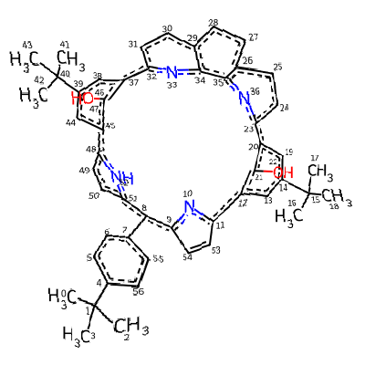 CC(C)(C)c1ccc(-c2c3nc(c4cc(C(C)(C)C)cc(c4O)c4ccc5ccc6ccc(nc6c5n4)c4cc(C(C)(C)C)cc(c4O)c4ccc2[nH]4)C=C3)cc1